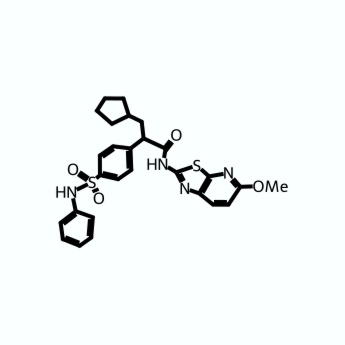 COc1ccc2nc(NC(=O)C(CC3CCCC3)c3ccc(S(=O)(=O)Nc4ccccc4)cc3)sc2n1